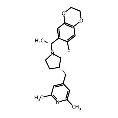 Cc1cc(C[C@@H]2CCN([C@H](C)c3cc4c(cc3F)OCCO4)C2)cc(C)n1